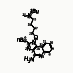 CCCCc1nc2c(N)nc3ccccc3c2n1OCCCCN(C)C(C)(C)C